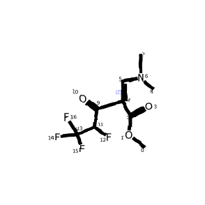 COC(=O)/C(=C\N(C)C)C(=O)C(F)C(F)(F)F